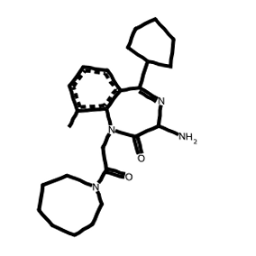 Cc1cccc2c1N(CC(=O)N1CCCCCCC1)C(=O)C(N)N=C2C1CCCCC1